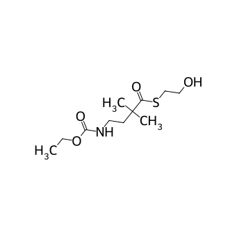 CCOC(=O)NCCC(C)(C)C(=O)SCCO